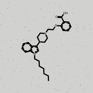 CCCCCCCn1cc(C2CCN(CCOc3ccccc3C(=O)O)CC2)c2ccccc21